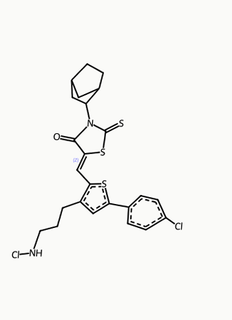 O=C1/C(=C/c2sc(-c3ccc(Cl)cc3)cc2CCCNCl)SC(=S)N1C1CC2CCC1C2